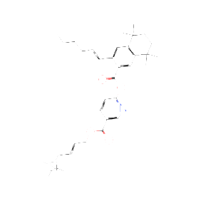 CCCCC=Cc1cc2c(cc1C(=O)Oc1ccc(C(=O)OCC=CC[Si](C)(C)C)cn1)C(C)(C)CCC2(C)C